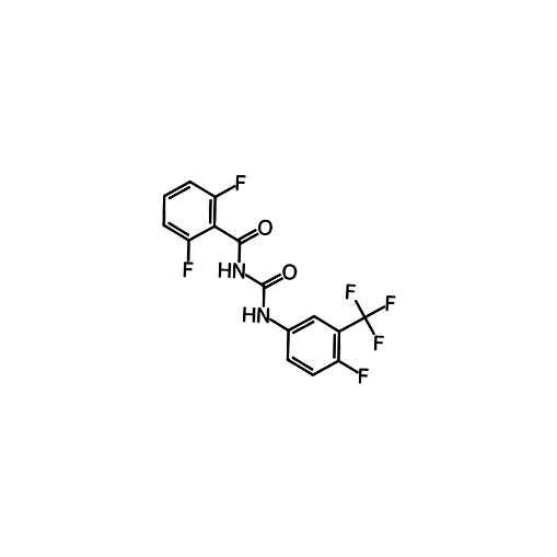 O=C(NC(=O)c1c(F)cccc1F)Nc1ccc(F)c(C(F)(F)F)c1